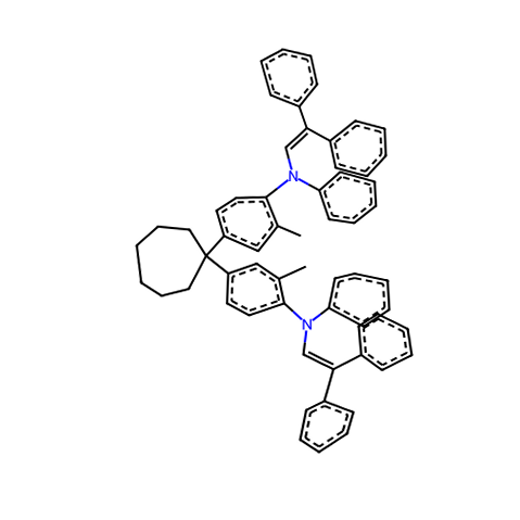 Cc1cc(C2(c3ccc(N(C=C(c4ccccc4)c4ccccc4)c4ccccc4)c(C)c3)CCCCCC2)ccc1N(C=C(c1ccccc1)c1ccccc1)c1ccccc1